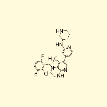 Cc1c(-c2ccnc(NC3CCCNC3)c2)cnc2c1N(Cc1c(F)ccc(F)c1Cl)CCN2